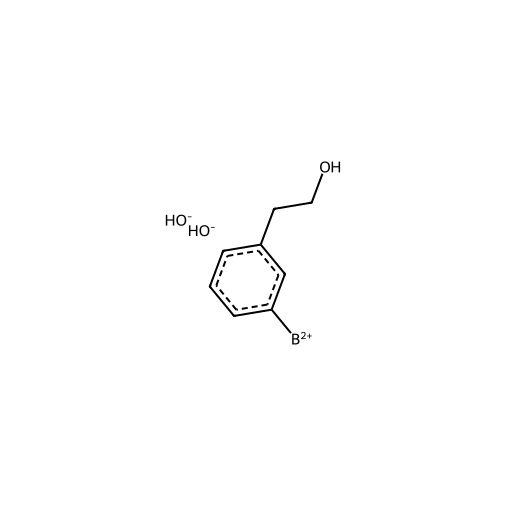 [B+2]c1cccc(CCO)c1.[OH-].[OH-]